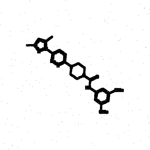 COc1cc(NC(=O)N2CCN(c3ccc(-n4nc(C)cc4C)nn3)CC2)cc(OC)c1